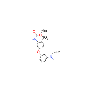 CC(C)CN(C)c1cccc(Oc2ccc([N+](=O)[O-])c(N(C)C(=O)OC(C)(C)C)c2)c1